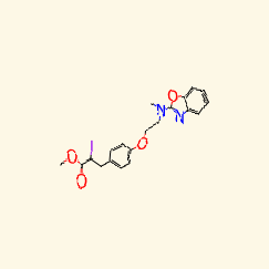 COC(=O)C(I)Cc1ccc(OCCN(C)c2nc3ccccc3o2)cc1